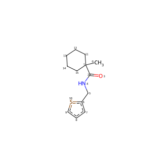 CC1(C(=O)NCc2cccs2)CCCCC1